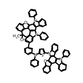 CC1(C)c2cccc3oc4c(c23)c2c3c1cc(-c1cccc(N(c5ccccc5)c5ccc(-n6c7ccccc7c7c6c6oc8ccccc8c6c6c8ccccc8n(-c8ccccc8)c67)s5)c1)cc3n(-c1ccccc1)c2c1c2ccccc2n(-c2ccccc2)c41